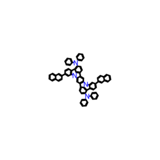 c1ccc(N(c2ccccc2)c2ccc3c4cc5c(cc4n4c6cc(-c7ccc8ccccc8c7)ccc6c2c34)c2ccc(N(c3ccccc3)c3ccccc3)c3c4ccc(-c6ccc7ccccc7c6)cc4n5c23)cc1